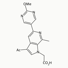 COc1ncc(-c2cc3c(C(C)=O)cn(CC(=O)O)c3c(C)n2)cn1